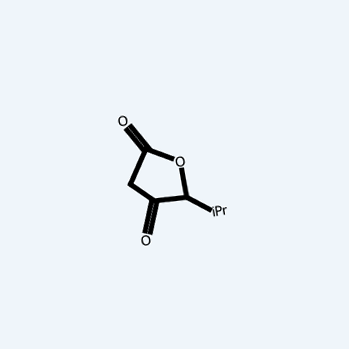 CC(C)C1OC(=O)CC1=O